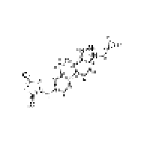 O=C1CC(=O)N(Cc2ccc(-c3ccc4c(nnn4CC4CC4)c3C(F)(F)F)c(F)n2)C1